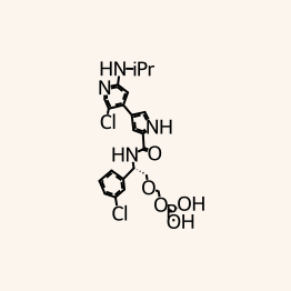 CC(C)Nc1cc(-c2c[nH]c(C(=O)N[C@H](COCOP(O)O)c3cccc(Cl)c3)c2)c(Cl)cn1